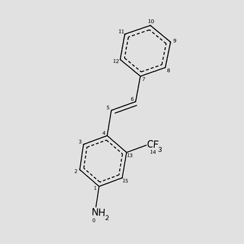 Nc1ccc(C=Cc2ccccc2)c(C(F)(F)F)c1